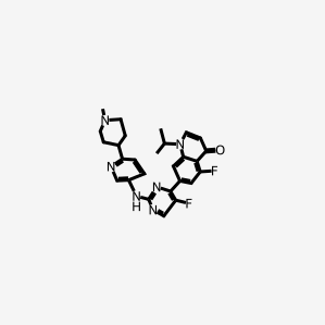 CC(C)n1ccc(=O)c2c(F)cc(-c3nc(Nc4ccc(C5CCN(C)CC5)nc4)ncc3F)cc21